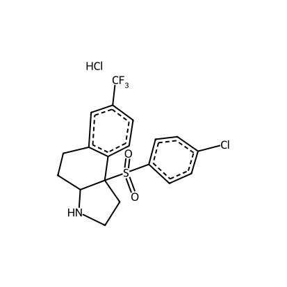 Cl.O=S(=O)(c1ccc(Cl)cc1)C12CCNC1CCc1cc(C(F)(F)F)ccc12